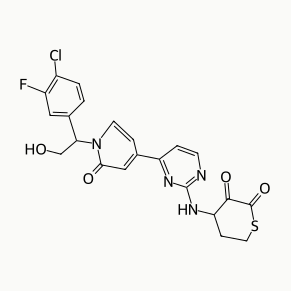 O=C1SCCC(Nc2nccc(-c3ccn(C(CO)c4ccc(Cl)c(F)c4)c(=O)c3)n2)C1=O